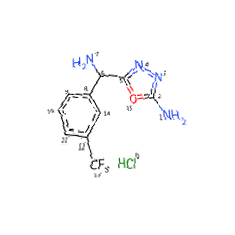 Cl.Nc1nnc(C(N)c2cccc(C(F)(F)F)c2)o1